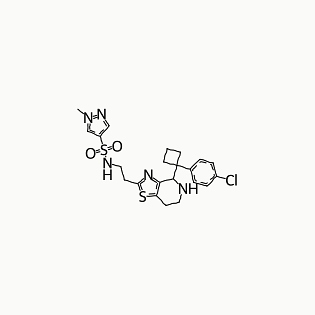 Cn1cc(S(=O)(=O)NCCc2nc3c(s2)CCNC3C2(c3ccc(Cl)cc3)CCC2)cn1